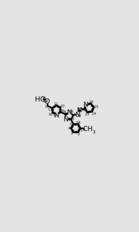 Cc1cccc(C2=NC(c3ccc(COO)cn3)=NC2N=Nc2ccccn2)c1